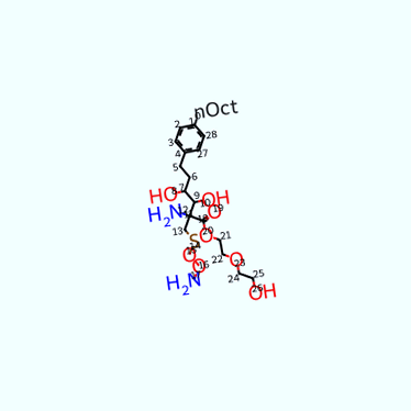 CCCCCCCCc1ccc(CCC(O)C(O)C(N)(CSOON)C(=O)OCCOCCO)cc1